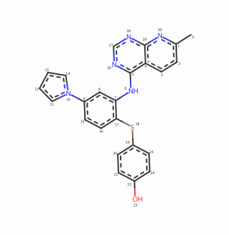 Cc1ccc2c(Nc3cc(-n4cccc4)ccc3Sc3ccc(O)cc3)ncnc2n1